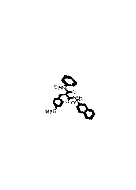 CCN(C(=O)C(Cc1ccc(OC)cc1)C(=O)NS(=O)(=O)c1ccc2ccccc2c1)c1ccccc1